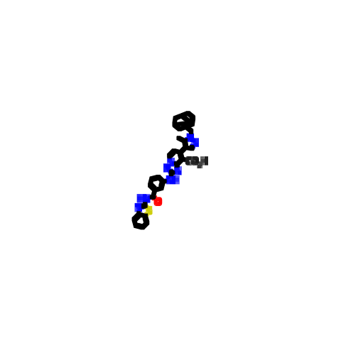 Cc1c(-c2ccn3nc(Nc4cccc(C(=O)Nc5nc6ccccc6s5)c4)nc3c2C(=O)O)cnn1CC12CC3CC(CC(C3)C1)C2